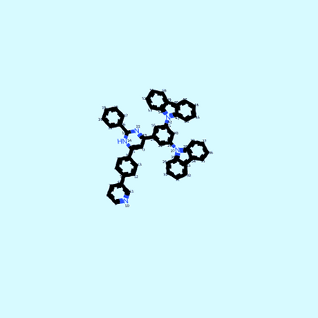 C1=C(c2ccc(-c3cccnc3)cc2)NC(c2ccccc2)N=C1c1cc(-n2c3ccccc3c3ccccc32)cc(-n2c3ccccc3c3ccccc32)c1